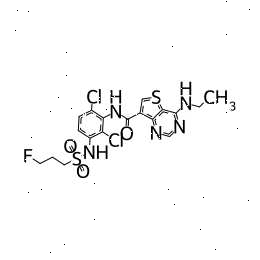 CCNc1ncnc2c(C(=O)Nc3c(Cl)ccc(NS(=O)(=O)CCCF)c3Cl)csc12